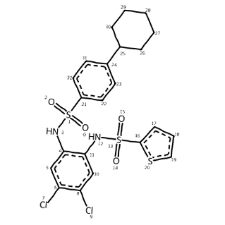 O=S(=O)(Nc1cc(Cl)c(Cl)cc1NS(=O)(=O)c1cccs1)c1ccc(C2CCCCC2)cc1